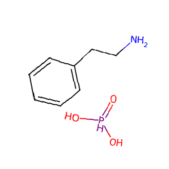 NCCc1ccccc1.O=[PH](O)O